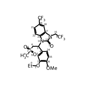 CCOc1cc(C(CS(C)(=O)=O)n2c(=O)n(CC(F)(F)F)c3cc(C(F)(F)F)ccc32)ccc1OC